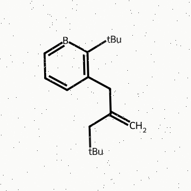 C=C(Cc1cccbc1C(C)(C)C)CC(C)(C)C